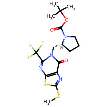 CSc1nc2c(=O)n(C[C@H]3CCCN3C(=O)OC(C)(C)C)c(C(F)(F)F)nc2s1